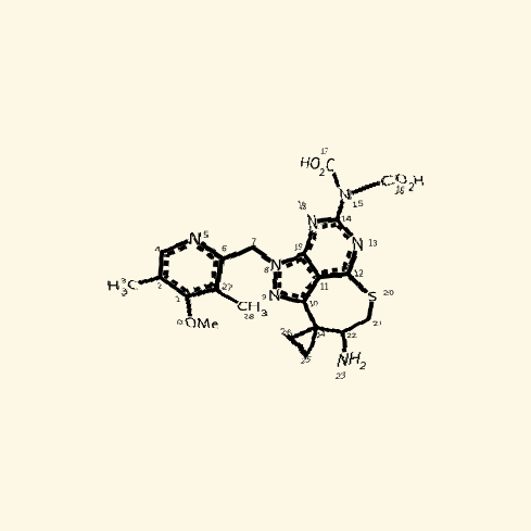 COc1c(C)cnc(Cn2nc3c4c(nc(N(C(=O)O)C(=O)O)nc42)SCC(N)C32CC2)c1C